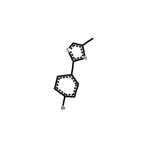 Cc1csc(-c2ccc(Br)cc2)n1